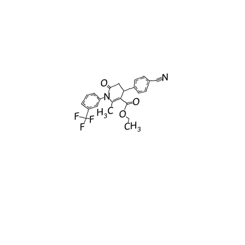 CCOC(=O)C1=C(C)N(c2cccc(C(F)(F)F)c2)C(=O)CC1c1ccc(C#N)cc1